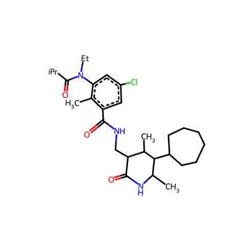 CCN(C(=O)C(C)C)c1cc(Cl)cc(C(=O)NCC2C(=O)NC(C)C(C3CCCCCC3)C2C)c1C